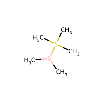 CB(C)S(C)(C)C